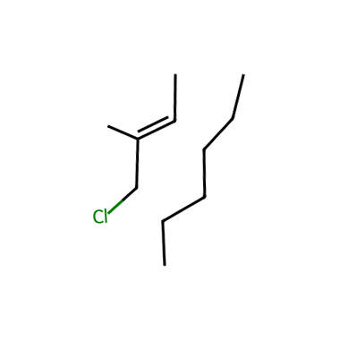 C/C=C(\C)CCl.CCCCCC